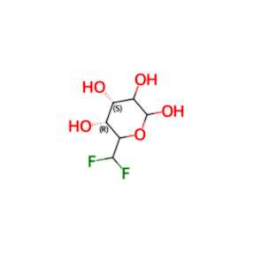 OC1OC(C(F)F)[C@H](O)[C@H](O)C1O